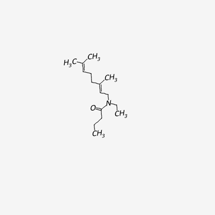 CCCC(=O)N(CC)C/C=C(\C)CCC=C(C)C